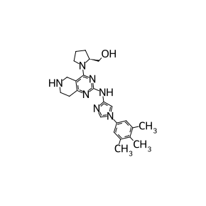 Cc1cc(-n2cnc(Nc3nc4c(c(N5CCC[C@H]5CO)n3)CNCC4)c2)cc(C)c1C